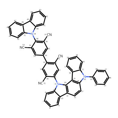 N#Cc1cc(-n2c3ccccc3c3ccc4c(c5ccccc5n4-c4ccccc4)c32)c(C#N)cc1-c1cc(C#N)c(-n2c3ccccc3c3ccccc32)c(C#N)c1